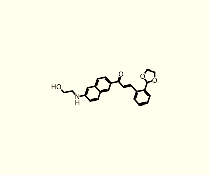 O=C(/C=C/c1ccccc1C1OCCO1)c1ccc2cc(NCCO)ccc2c1